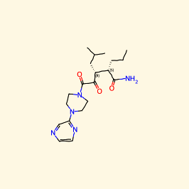 CCC[C@H](C(N)=O)[C@@H](CC(C)C)C(=O)C(=O)N1CCN(c2cnccn2)CC1